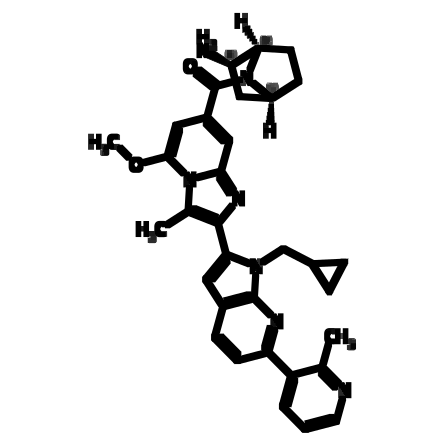 COc1cc(C(=O)N2[C@H]3CC[C@@H]2[C@H](N)C3)cc2nc(-c3cc4ccc(-c5cccnc5C)nc4n3CC3CC3)c(C)n12